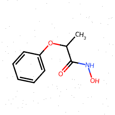 CC(Oc1ccccc1)C(=O)NO